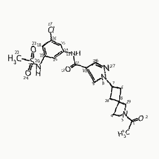 CC(=O)N1CC2(CC(n3cc(C(=O)Nc4cc(Cl)cc(NS(C)(=O)=O)c4)cn3)C2)C1